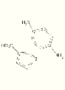 Nc1ccc(N)cc1.O=C(O)c1ccsc1